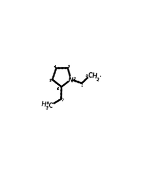 [CH2]CN1CCCC1CC